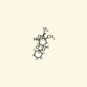 C=C1O[C@@H]2C[C@@]1(C)C[C@H]1OC3(CCCCC3)OC21